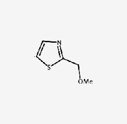 COCc1nc[c]s1